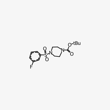 CC(C)(C)OC(=O)N1CCN(S(=O)(=O)c2cccc(F)c2)CC1